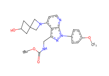 CC(C)(C)OC(=O)NCc1nn(-c2ccc(OC(F)(F)F)cc2)c2nccc(N3CC4(CC(O)C4)C3)c12